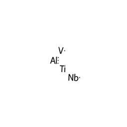 [Al].[Nb].[Ti].[V]